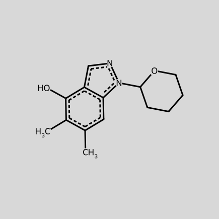 Cc1cc2c(cnn2C2CCCCO2)c(O)c1C